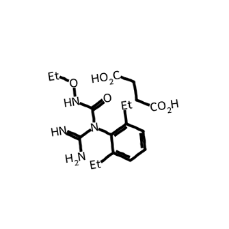 CCONC(=O)N(C(=N)N)c1c(CC)cccc1CC.O=C(O)CCC(=O)O